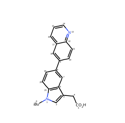 CCC(C)n1cc(CC(=O)O)c2cc(-c3ccc4ncccc4c3)ccc21